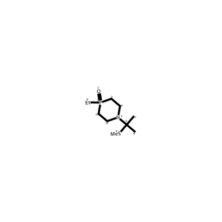 CCP1(=O)CCN(C(C)(C)SC)CC1